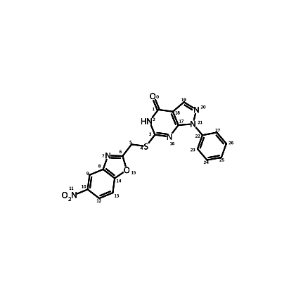 O=c1[nH]c(SCc2nc3cc([N+](=O)[O-])ccc3o2)nc2c1cnn2-c1ccccc1